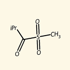 CC(C)C(=O)S(C)(=O)=O